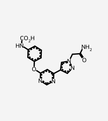 NC(=O)Cn1cc(-c2cc(Oc3cccc(NC(=O)O)c3)ncn2)cn1